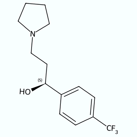 O[C@@H](CCN1CCCC1)c1ccc(C(F)(F)F)cc1